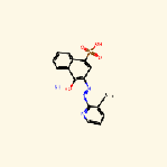 Cc1cccnc1N=Nc1cc(S(=O)(=O)O)c2ccccc2c1O.N